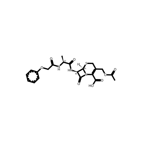 CC(=O)OCC1=C(C(=O)O)N2C(=O)[C@@H](NC(=O)[C@H](C)NC(=O)COc3ccccc3)[C@H]2SC1